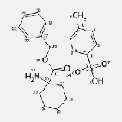 Cc1ccc(S(=O)(=O)O)cc1.NC1(C(=O)OCc2ccccc2)CCCCC1